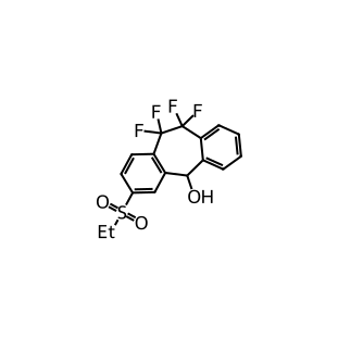 CCS(=O)(=O)c1ccc2c(c1)C(O)c1ccccc1C(F)(F)C2(F)F